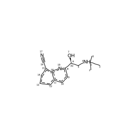 CC(C)(C)NC[C@H](O)c1ccc2cccc(C#N)c2n1